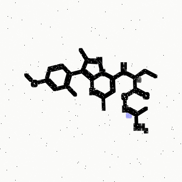 CC[C@H](Nc1cc(C)nc2c(-c3ccc(OC)cc3C)c(C)nn12)C(=O)O/N=C(\C)N